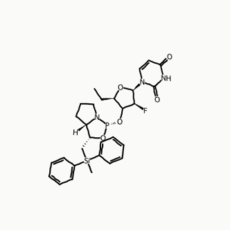 CC[C@H]1O[C@@H](n2ccc(=O)[nH]c2=O)[C@@H](F)C1O[P@]1O[C@H](C[Si](C)(c2ccccc2)c2ccccc2)[C@@H]2CCCN21